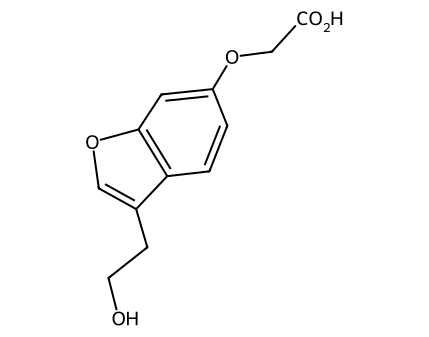 O=C(O)COc1ccc2c(CCO)coc2c1